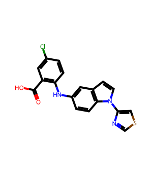 O=C(O)c1cc(Cl)ccc1Nc1ccc2c(ccn2-c2cscn2)c1